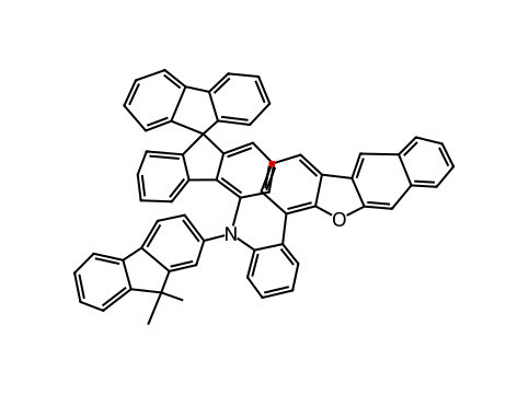 CC1(C)c2ccccc2-c2ccc(N(c3ccccc3-c3cccc4c3oc3cc5ccccc5cc34)c3cccc4c3-c3ccccc3C43c4ccccc4-c4ccccc43)cc21